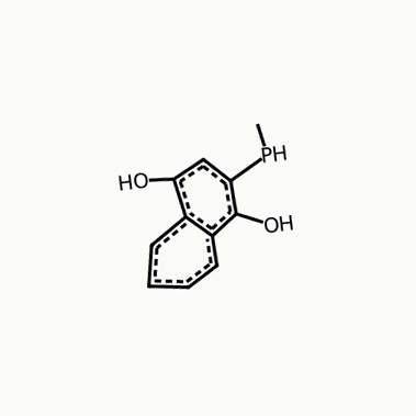 CPc1cc(O)c2ccccc2c1O